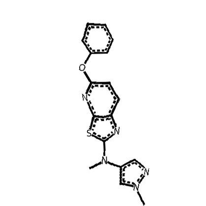 CN(c1cnn(C)c1)c1nc2ccc(Oc3ccccc3)nc2s1